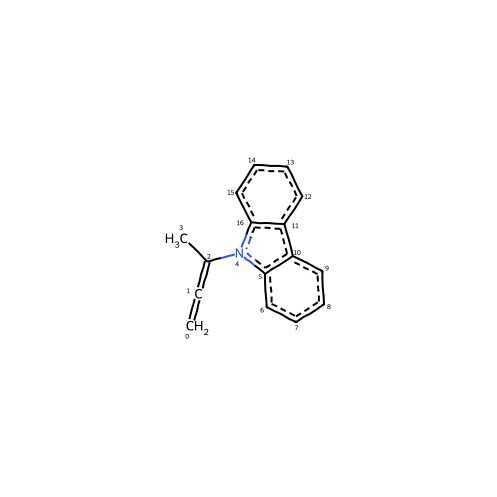 C=C=C(C)n1c2ccccc2c2ccccc21